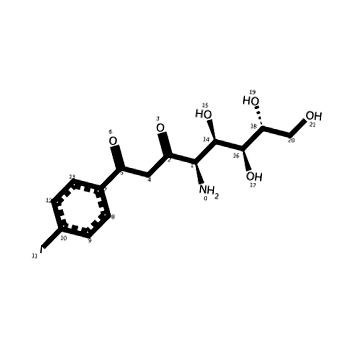 N[C@@H](C(=O)CC(=O)c1ccc(I)cc1)[C@@H](O)[C@H](O)[C@H](O)CO